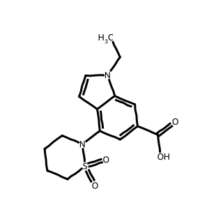 CCn1ccc2c(N3CCCCS3(=O)=O)cc(C(=O)O)cc21